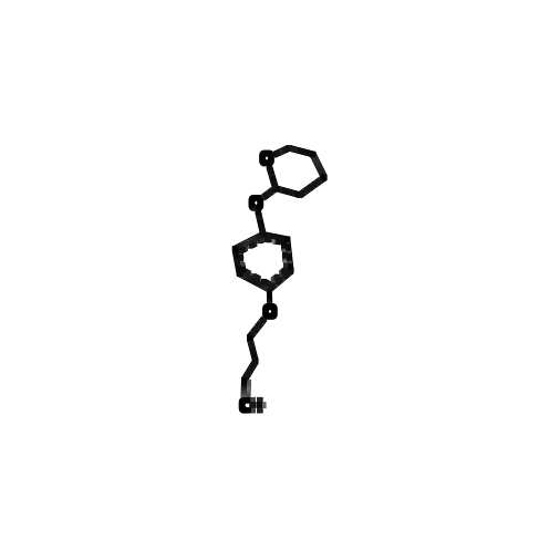 [CH]=CCCOc1ccc(OC2CCCCO2)cc1